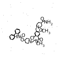 COc1cc(C(=O)N(C)CCN2CCC(OC(=O)Nc3ccccc3-c3ccccc3)CC2)c(Cl)cc1CN1CCC(C(N)=O)CC1